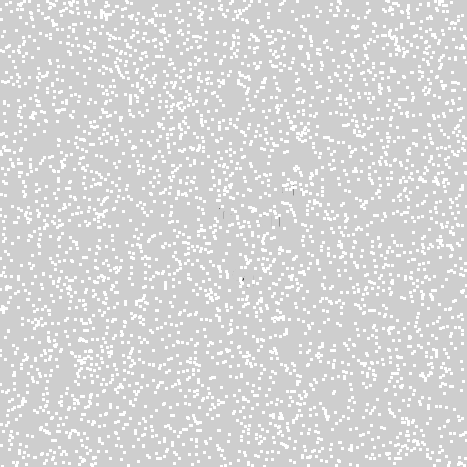 CC1=CC[C]([Zr+2][CH]2c3ccccc3-c3ccccc32)=C1C.[Cl-].[Cl-]